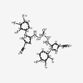 N#Cc1cc(NO[PH](=O)ONc2cc(C#N)nn2-c2ccc(F)c(F)c2F)n(-c2ccc(F)c(F)c2F)n1